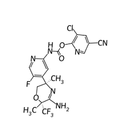 C[C@@]1(c2cc(NC(=O)Oc3ncc(C#N)cc3Cl)ncc2F)CO[C@@](C)(C(F)(F)F)C(N)=N1